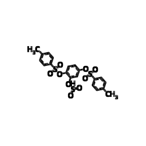 Cc1ccc(S(=O)(=O)Oc2ccc(OS(=O)(=O)c3ccc(C)cc3)c(O[SH](=O)=O)c2)cc1